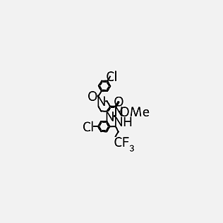 COn1c(NC(CCC(F)(F)F)c2ccc(Cl)cc2)nc2c(c1=O)CN(C(=O)c1ccc(Cl)cc1)CC2